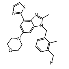 Cc1c(CF)cccc1Cn1c(C)nc2c(-c3nccs3)cc(N3CCOCC3)cc21